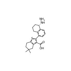 CC1(C)CCc2sc(-c3cccc4c3CCC[C@@H]4NN)c(C(=O)O)c2C1